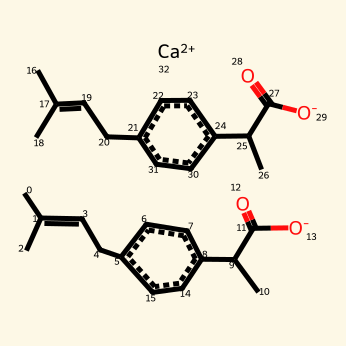 CC(C)=CCc1ccc(C(C)C(=O)[O-])cc1.CC(C)=CCc1ccc(C(C)C(=O)[O-])cc1.[Ca+2]